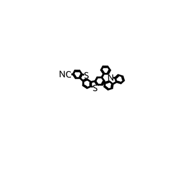 N#Cc1ccc2sc3c(ccc4sc5c(c43)CC(c3ccccc3-n3c4ccccc4c4ccccc43)C=C5)c2c1